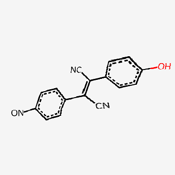 N#C/C(=C(/C#N)c1ccc(N=O)cc1)c1ccc(O)cc1